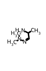 CC(N)/C=N\N(C)C